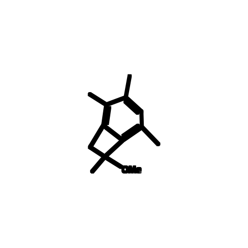 COC1(C)Cc2c(C)c(C)cc(C)c21